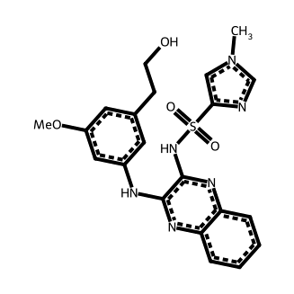 COc1cc(CCO)cc(Nc2nc3ccccc3nc2NS(=O)(=O)c2cn(C)cn2)c1